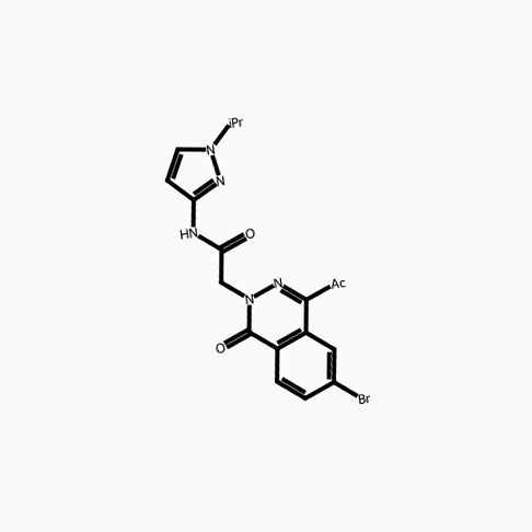 CC(=O)c1nn(CC(=O)Nc2ccn(C(C)C)n2)c(=O)c2ccc(Br)cc12